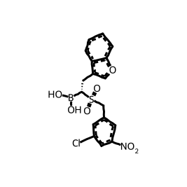 O=[N+]([O-])c1cc(Cl)cc(CS(=O)(=O)[C@@H](Cc2coc3ccccc23)B(O)O)c1